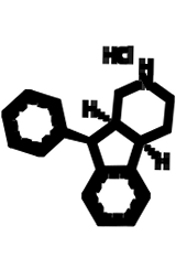 Cl.c1ccc([C@@H]2c3ccccc3[C@@H]3CCNC[C@H]23)cc1